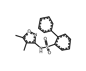 Cc1onc(NS(=O)(=O)c2ccccc2-c2ccccc2)c1C